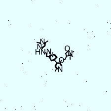 Cc1cc(-c2ccn3nc(Nc4cc(C)nc(C)n4)cc3c2)c(OCC2CC(=O)N(C)C2(C)C)cn1